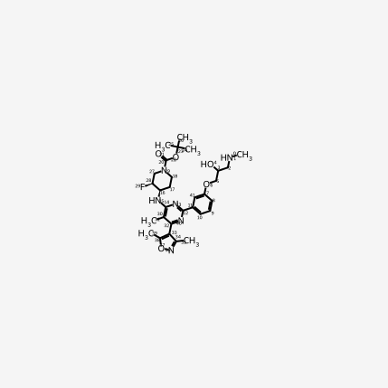 CNCC(O)COc1cccc(-c2nc(N[C@@H]3CCN(C(=O)OC(C)(C)C)C[C@@H]3F)c(C)c(-c3c(C)noc3C)n2)c1